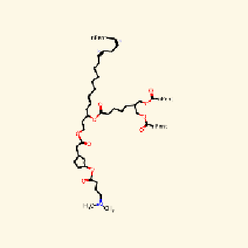 CCCCC/C=C\C/C=C\CCCCCCCCC(CCOC(=O)CC1CCC(OC(=O)CCCN(C)C)C1)OC(=O)CCCCC(COC(=O)CCCCC)COC(=O)CCCCC